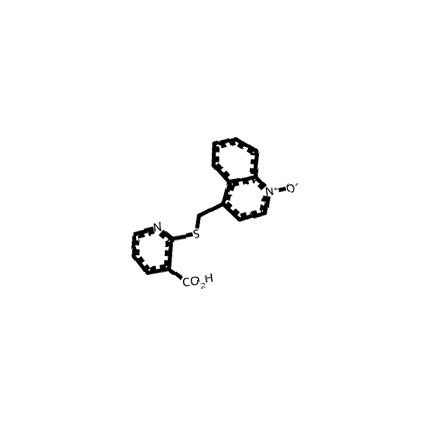 O=C(O)c1cccnc1SCc1cc[n+]([O-])c2ccccc12